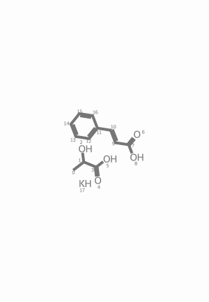 CC(O)C(=O)O.O=C(O)/C=C/c1ccccc1.[KH]